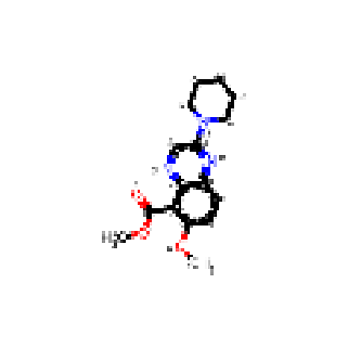 COC(=O)c1c(OC)ccc2nc(N3CCCCC3)cnc12